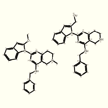 COc1cc2ccccc2n1-c1nc2c(c(NCc3ccccc3)n1)CN(C)CC2.OCc1cc2ccccc2n1-c1nc2c(c(NCc3ccccc3)n1)CNCC2